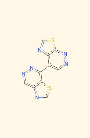 [c]1nc2c(-c3nncc4ncsc34)cnnc2s1